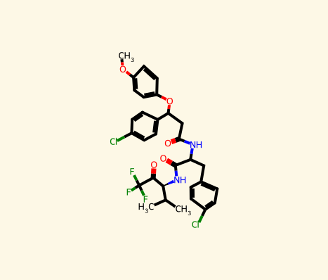 COc1ccc(OC(CC(=O)NC(Cc2ccc(Cl)cc2)C(=O)N[C@H](C(=O)C(F)(F)F)C(C)C)c2ccc(Cl)cc2)cc1